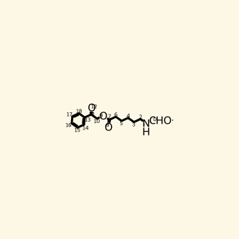 O=[C]NCCCCCC(=O)OCC(=O)c1ccccc1